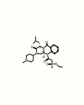 CCOP(C)(=O)CC(=O)N1c2ccccc2C(=O)N2[C@@H]1CN(C1CCN(C)CC1)C(=O)[C@@H]2CC(C)C